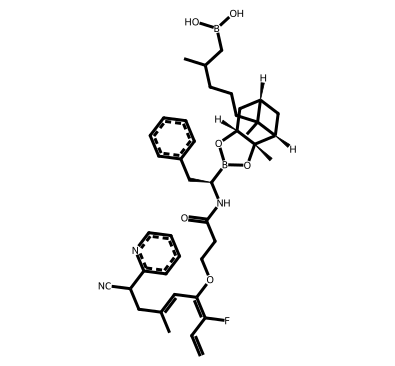 C=C/C(F)=C(\C=C(/C)CC(C#N)c1ccccn1)OCCC(=O)N[C@@H](Cc1ccccc1)B1O[C@@H]2C[C@@H]3C[C@@H](C3(C)CCCC(C)CB(O)O)[C@]2(C)O1